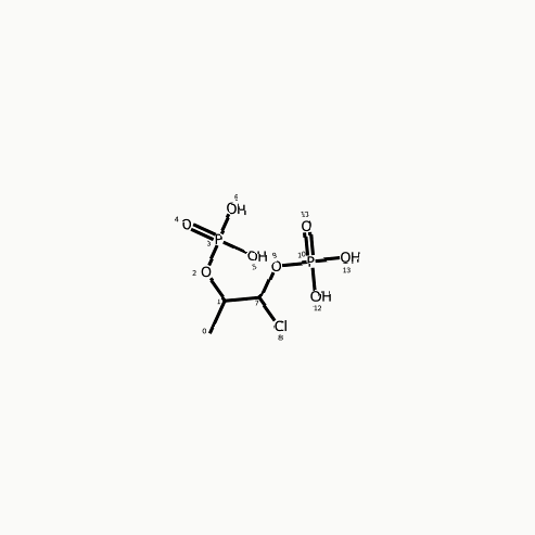 CC(OP(=O)(O)O)C(Cl)OP(=O)(O)O